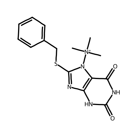 C[N+](C)(C)n1c(SCc2ccccc2)nc2[nH]c(=O)[nH]c(=O)c21